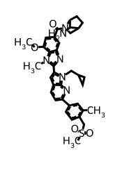 COc1cc(C(=O)N2CC3CCC2C3N)cc2nc(-c3cc4ccc(-c5ccc(CS(C)(=O)=O)c(C)c5)nc4n3CC3CC3)n(C)c12